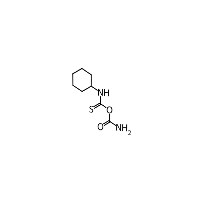 NC(=O)OC(=S)NC1CCCCC1